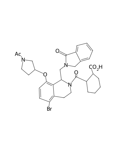 CC(=O)N1CCC(Oc2ccc(Br)c3c2C(CN2Cc4ccccc4C2=O)N(C(=O)C2CCCCC2C(=O)O)CC3)C1